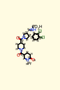 CC(C)N1CC(C(=O)N2CCC(C(=O)N3C[C@H](CNC(=O)O)[C@H](c4ccc(Cl)c(Cl)c4)C3)CC2)CCC1=O